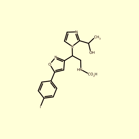 CC(O)c1nccn1C(CNC(=O)O)c1cc(-c2ccc(I)cc2)on1